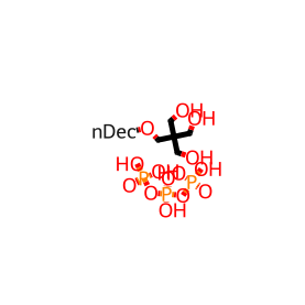 CCCCCCCCCCOCC(CO)(CO)CO.O=P(O)(O)OP(=O)(O)OP(=O)(O)O